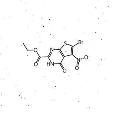 CCOC(=O)c1nc2sc(Br)c([N+](=O)[O-])c2c(=O)[nH]1